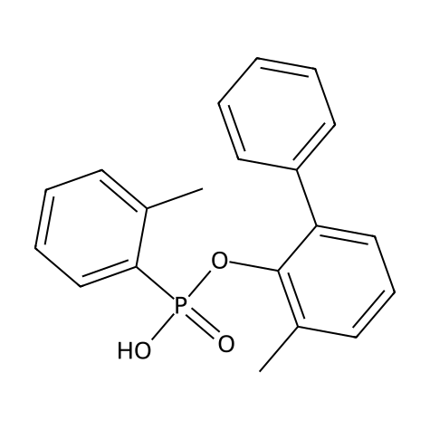 Cc1ccccc1P(=O)(O)Oc1c(C)cccc1-c1ccccc1